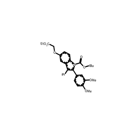 CCOC(=O)COc1ccc2c(c1)c(C(C)C)c(-c1ccc(OC)c(OC)c1)n2C(=O)OC(C)(C)C